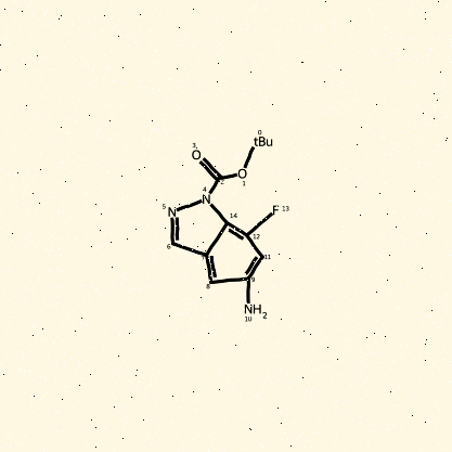 CC(C)(C)OC(=O)n1ncc2cc(N)cc(F)c21